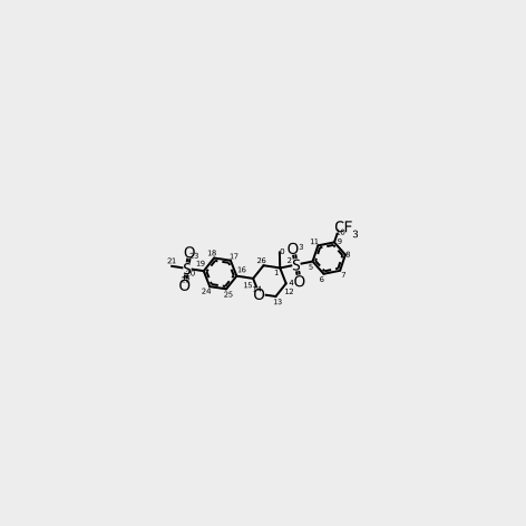 CC1(S(=O)(=O)c2cccc(C(F)(F)F)c2)CCOC(c2ccc(S(C)(=O)=O)cc2)C1